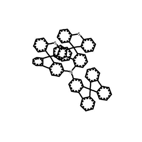 c1ccc2c(c1)Sc1ccccc1C21c2ccccc2-c2ccc(N(c3ccc4c(c3)C3(c5ccccc5-c5ccccc53)c3ccccc3-4)c3cccc4c3-c3ccccc3C43c4ccccc4Sc4ccccc43)cc21